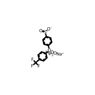 O.O.O=S([O-])c1ccc(Oc2ccc(C(F)(F)F)cc2)cc1.[Na+]